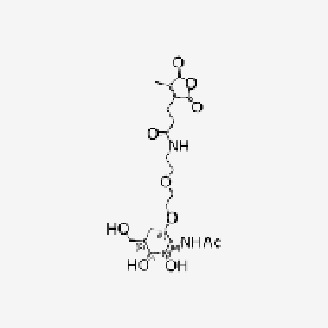 CC(=O)N[C@@H]1[C@@H](O)[C@@H](O)[C@@H](CO)C[C@H]1OCCOCCNC(=O)CCC1=C(C)C(=O)OC1=O